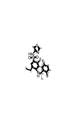 CCc1cc(S(=O)(=O)Nc2cscn2)c(F)cc1N[C@@H](C)c1cc(F)ccc1F